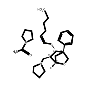 NC(=O)N1CCCC1.O=C(O)CCC/C=C\C[C@H]1[C@H](CN2CCCC2)[C@@H]2C[C@@]1(c1ccccc1)CO2